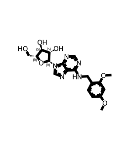 COc1ccc(CNc2ncnc3c2ncn3[C@@H]2O[C@H](CO)[C@@H](O)[C@@H]2O)c(OC)c1